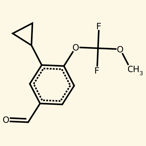 COC(F)(F)Oc1ccc(C=O)cc1C1CC1